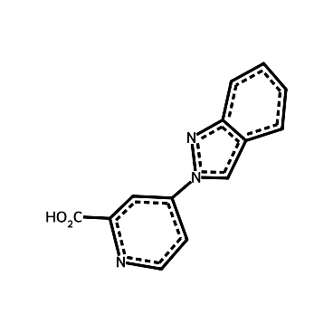 O=C(O)c1cc(-n2cc3ccccc3n2)ccn1